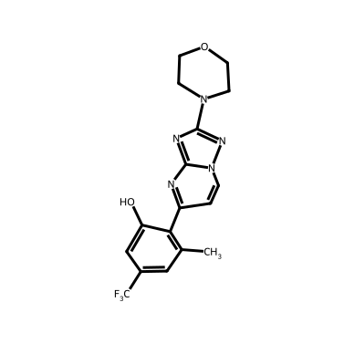 Cc1cc(C(F)(F)F)cc(O)c1-c1ccn2nc(N3CCOCC3)nc2n1